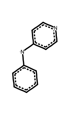 c1ccc([N]c2ccncc2)cc1